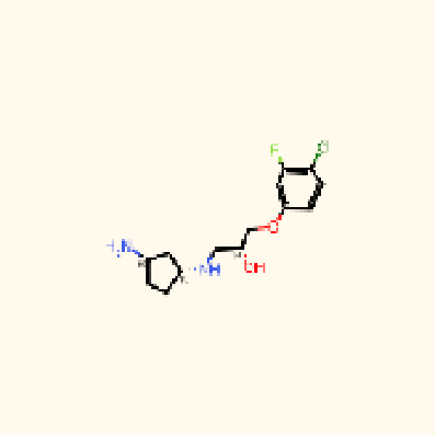 N[C@@H]1CC[C@@H](NC[C@@H](O)COc2ccc(Cl)c(F)c2)C1